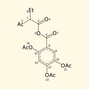 CCC(C(C)=O)C(=O)OC(=O)c1cc(OC(C)=O)c(OC(C)=O)cc1OC(C)=O